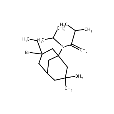 BC1(C)CC2CC(Br)(CC)CC(N(C(=C)C(C)C)C(C)C)(C2)C1